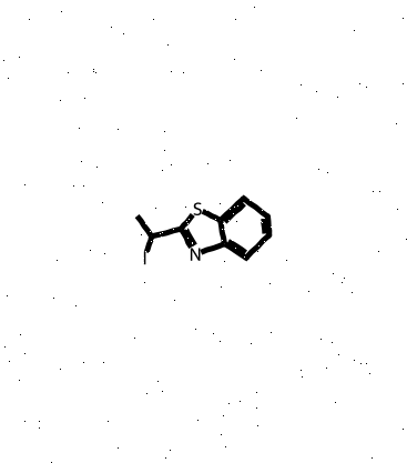 CC(I)c1nc2ccccc2s1